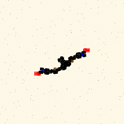 CCCCC1(CCCC)c2cc(C#Cc3ccc(/C=C/c4ccc(N(CC)CCO)cc4)s3)ccc2-c2ccc(-c3ccc(/C=C/c4ccc(N(CC)CCO)cc4)s3)cc21